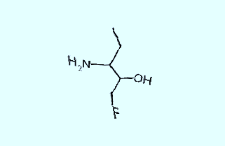 CCC(N)C(O)CF